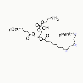 CCCCC/C=C\C/C=C\C/C=C\CCCCCCC(=O)O[C@H](COC(=O)CCCCCCCCCCCCC)COP(=O)(O)OCCN